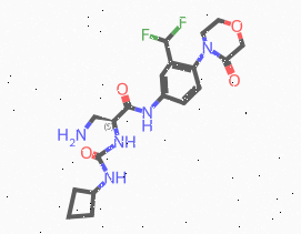 NC[C@H](NC(=O)NC1CCC1)C(=O)Nc1ccc(N2CCOCC2=O)c(C(F)F)c1